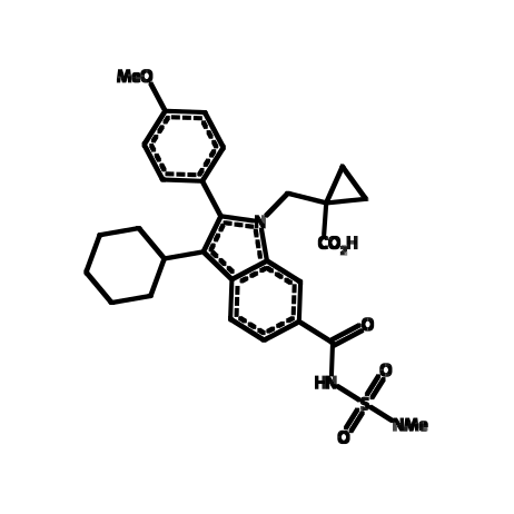 CNS(=O)(=O)NC(=O)c1ccc2c(C3CCCCC3)c(-c3ccc(OC)cc3)n(CC3(C(=O)O)CC3)c2c1